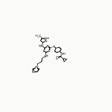 Cc1cc(Nc2nc(NCCCn3ccnc3)nc(Sc3ccc(NC(=O)C4CC4)cc3)n2)n[nH]1